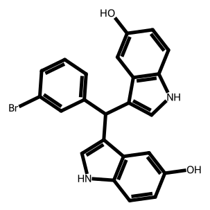 Oc1ccc2[nH]cc(C(c3cccc(Br)c3)c3c[nH]c4ccc(O)cc34)c2c1